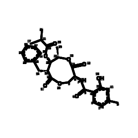 Cc1ncc(C(=O)N[C@H]2COC(=O)[C@H](Cc3ccccc3)[C@@H](OC(=O)C(C)C)[C@H](C)OC2=O)c(O)n1